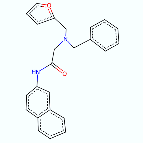 O=C(CN(Cc1ccccc1)Cc1ccco1)Nc1ccc2ccccc2c1